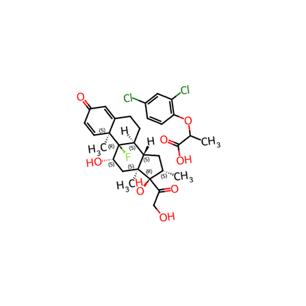 CC(Oc1ccc(Cl)cc1Cl)C(=O)O.C[C@H]1C[C@H]2[C@@H]3CCC4=CC(=O)C=C[C@]4(C)[C@@]3(F)[C@@H](O)C[C@]2(C)[C@@]1(O)C(=O)CO